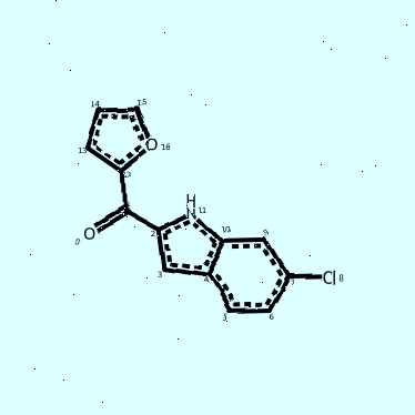 O=C(c1cc2ccc(Cl)cc2[nH]1)c1ccco1